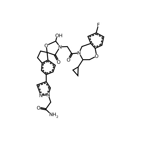 NC(=O)Cn1cc(-c2ccc3c(c2)CCC32OC(O)N(CC(=O)N3Cc4cc(F)ccc4OCC3C3CC3)C2=O)cn1